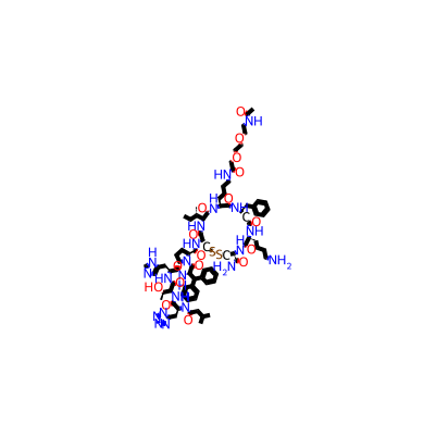 CC[C@H](C)[C@@H]1NC(=O)[C@@H](NC(=O)[C@@H]2CCCN2C(=O)[C@@H](NC(=O)[C@H](Cc2cnc[nH]2)NC(=O)[C@@H](NC(=O)[C@H](CC2N=NN=N2)NC(=O)CC(C)C)[C@@H](C)O)C(c2ccccc2)c2ccccc2)CSSC[C@@H](C(N)=O)NC(=O)[C@@H](CCCCN)NC(=O)C[C@H](Cc2ccccc2)NC(=O)[C@H](CCCCNC(=O)COCCOCCNC(C)=O)NC1=O